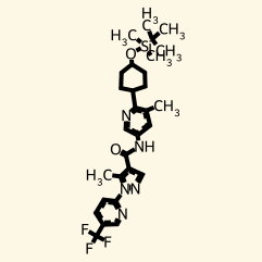 Cc1cc(NC(=O)c2cnn(-c3ccc(C(F)(F)F)cn3)c2C)cnc1C1CCC(O[Si](C)(C)C(C)(C)C)CC1